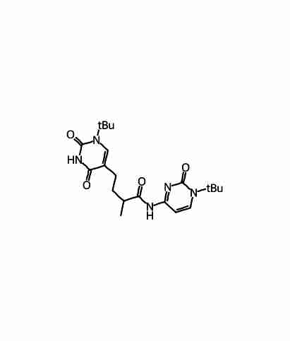 CC(CCc1cn(C(C)(C)C)c(=O)[nH]c1=O)C(=O)Nc1ccn(C(C)(C)C)c(=O)n1